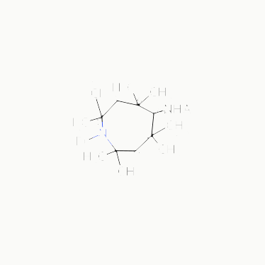 CCN1C(C)(C)CC(C)(C)C(NC(C)=O)C(C)(C)CC1(C)C